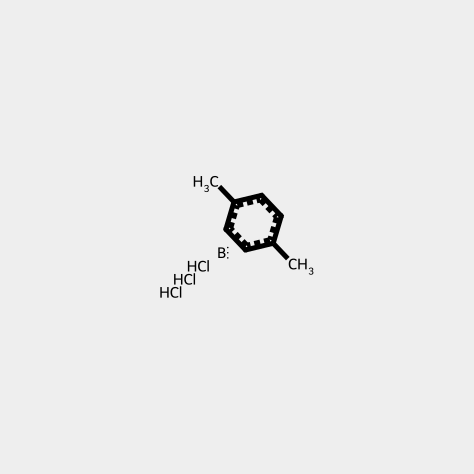 Cc1ccc(C)cc1.Cl.Cl.Cl.[B]